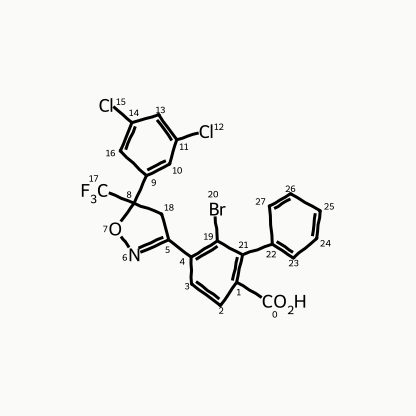 O=C(O)c1ccc(C2=NOC(c3cc(Cl)cc(Cl)c3)(C(F)(F)F)C2)c(Br)c1-c1ccccc1